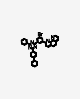 Brc1cc(-c2ccc3ccc4cccnc4c3n2)cc(-c2nc(-c3ccccc3)nc(-c3ccc(-c4ccccc4)cc3)n2)c1